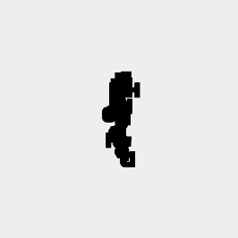 Fc1cc(Cl)ccc1COc1nc(C2CCN(Cc3nc4cc(-c5nnc(C(F)(F)F)[nH]5)ncc4n3CC3CCO3)CC2)ccc1F